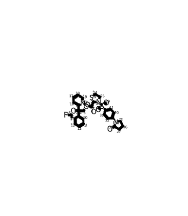 O=C(OCC(OC(F)F)(c1ccccc1)c1cccc[n+]1[O-])C1SCCN1S(=O)(=O)c1ccc(N2CCCC2=O)cc1